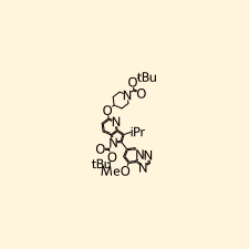 COc1cc(-c2c(C(C)C)c3nc(OC4CCN(C(=O)OC(C)(C)C)CC4)ccc3n2C(=O)OC(C)(C)C)cn2ncnc12